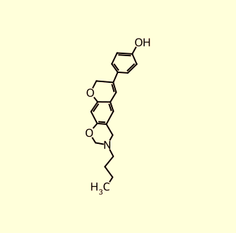 CCCCN1COc2cc3c(cc2C1)C=C(c1ccc(O)cc1)CO3